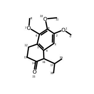 COc1cc2c(c(OC)c1OC)CCC(=O)C2C(C)C